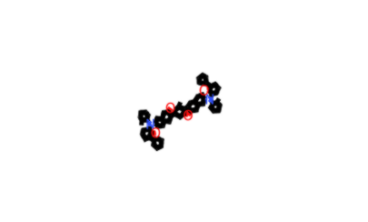 Cc1ccccc1N(c1ccc2cc3c(cc2c1)oc1c(C)c2c(cc13)oc1cc3cc(N(c4ccccc4C)c4cccc5c4oc4ccccc45)ccc3cc12)c1cccc2c1oc1ccccc12